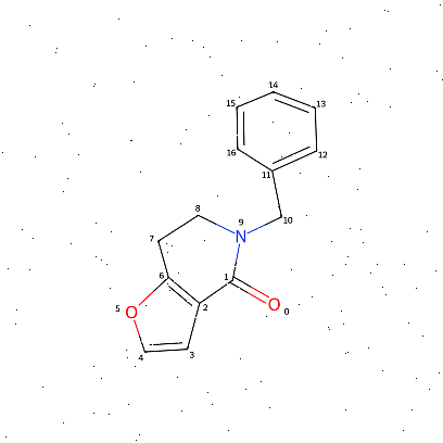 O=C1c2ccoc2CCN1Cc1ccccc1